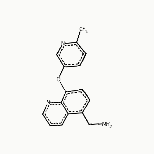 NCc1ccc(Oc2ccc(C(F)(F)F)nc2)c2ncccc12